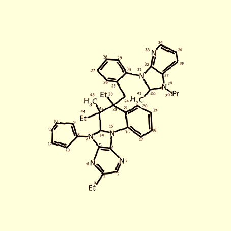 CCc1cnc2c(n1)N(c1ccccc1)C1N2c2ccccc2C(CC)(Cc2ccccc2N2c3ncccc3N(C(C)C)C2C)C1(C)CC